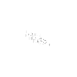 Fc1ccc(CNc2ncc3nc(-c4c(Cl)cc(CC5CC5)cc4Cl)n(C[C@@H]4CCCNC4)c3n2)cc1F